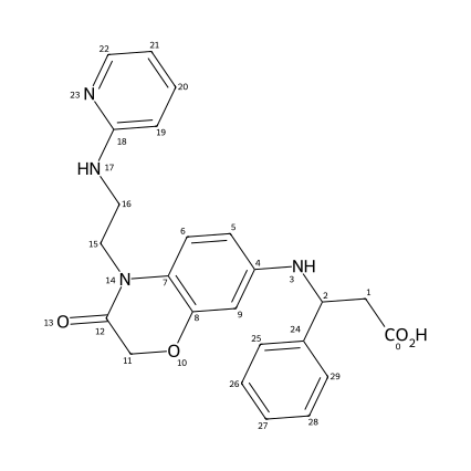 O=C(O)CC(Nc1ccc2c(c1)OCC(=O)N2CCNc1ccccn1)c1ccccc1